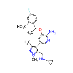 Cc1nn(C)c(CNC2CC2)c1-c1cnc(N)c(OC(C)c2ccc(F)cc2C(=O)O)c1